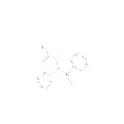 CC(C)(C)C(=O)OC(C(=O)c1ccccc1)c1ccccc1